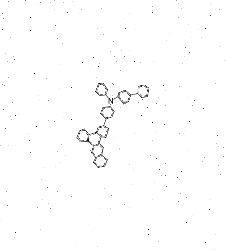 c1ccc(-c2ccc(N(c3ccccc3)c3ccc(-c4ccc5c(c4)c4ccccc4c4cc6ccccc6cc54)cc3)cc2)cc1